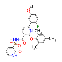 CCOc1ccc(F)c(-c2ccc(C(=O)NS(=O)(=O)c3ccc[nH]c3=O)c(Oc3c(C)cc(C)cc3C)n2)c1